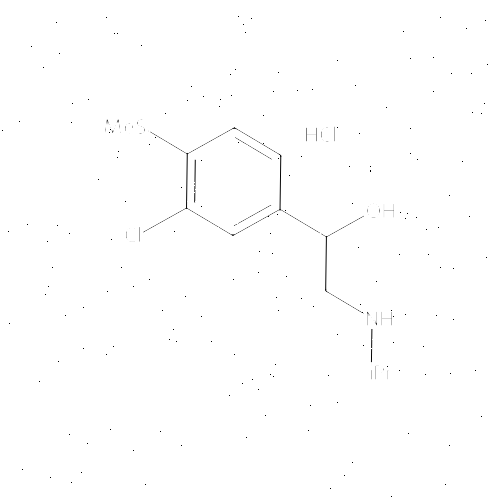 CSc1ccc(C(O)CNC(C)C)cc1Cl.Cl